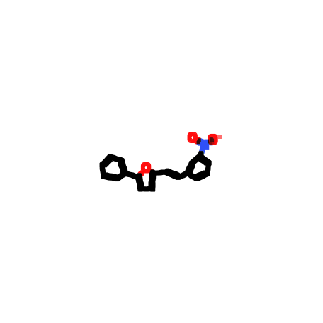 O=[N+]([O-])c1cccc(C=Cc2ccc(-c3ccccc3)o2)c1